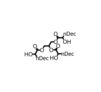 CCCCCCCCCCC(O)C(=O)OCC(COC(=O)C(O)CCCCCCCCCC)OC(=O)C(O)CCCCCCCCCC